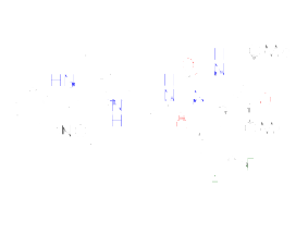 COCC1=C(C(=O)OC)[C@H](c2ccc(F)c(F)c2)N(C(=O)NCCNC2CCNC(c3ccccc3[N+](=O)[O-])C2)C(=O)N1